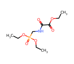 CCOC(=O)C(=O)NCP(=O)(OCC)OCC